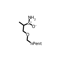 CCCCCCOCC(C)[S+](N)[O-]